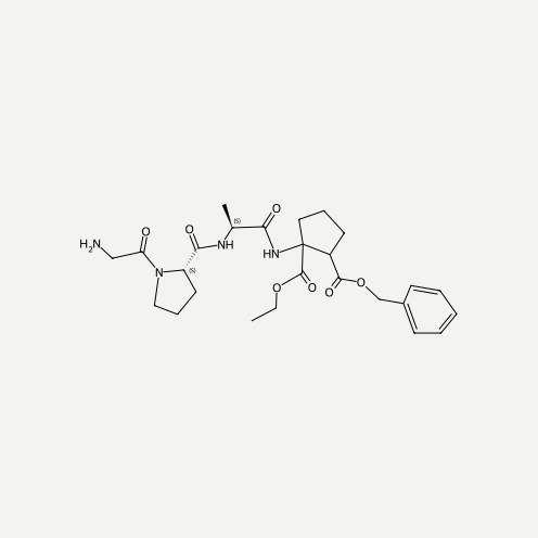 CCOC(=O)C1(NC(=O)[C@H](C)NC(=O)[C@@H]2CCCN2C(=O)CN)CCCC1C(=O)OCc1ccccc1